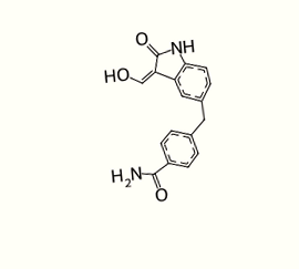 NC(=O)c1ccc(Cc2ccc3c(c2)C(=CO)C(=O)N3)cc1